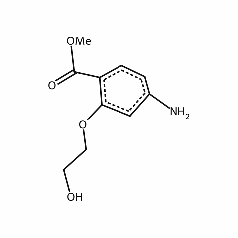 COC(=O)c1ccc(N)cc1OCCO